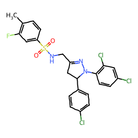 Cc1ccc(S(=O)(=O)NCC2=NN(c3ccc(Cl)cc3Cl)C(c3ccc(Cl)cc3)C2)cc1F